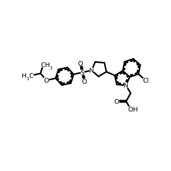 CC(C)Oc1ccc(S(=O)(=O)N2CCC(c3cn(CC(=O)O)c4c(Cl)cccc34)C2)cc1